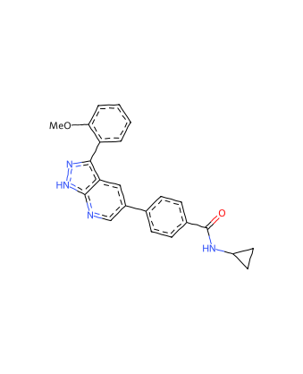 COc1ccccc1-c1n[nH]c2ncc(-c3ccc(C(=O)NC4CC4)cc3)cc12